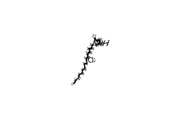 CCCCCCCCCCCCCCCC[n+]1c[nH]cc1C.[Cl-]